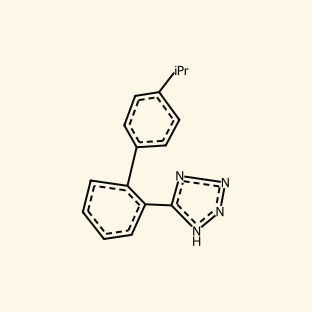 CC(C)c1ccc(-c2ccccc2-c2nnn[nH]2)cc1